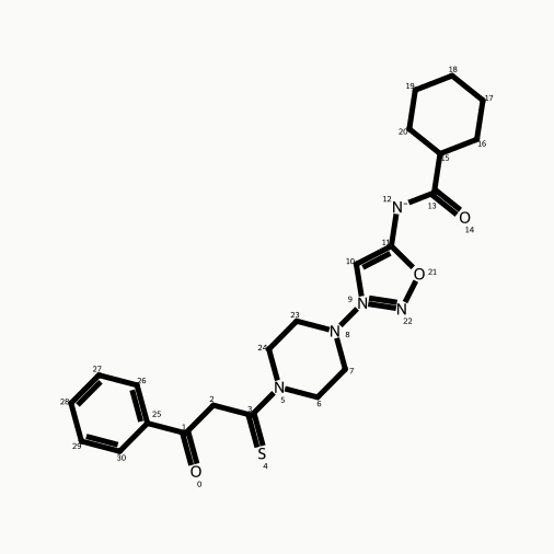 O=C(CC(=S)N1CCN([n+]2cc([N-]C(=O)C3CCCCC3)on2)CC1)c1ccccc1